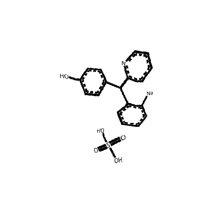 O=S(=O)(O)O.Oc1ccc(C(c2ccccn2)c2cccc[c]2[Na])cc1